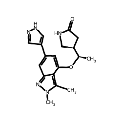 Cc1c2c(O[C@H](C)[C@H]3CNC(=O)C3)cc(-c3cn[nH]c3)cc2nn1C